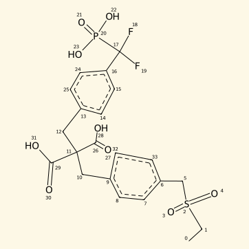 CCS(=O)(=O)Cc1ccc(CC(Cc2ccc(C(F)(F)P(=O)(O)O)cc2)(C(=O)O)C(=O)O)cc1